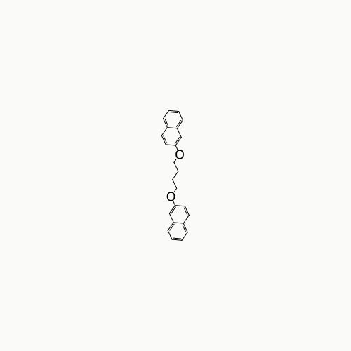 c1ccc2cc(OCCCCOc3ccc4ccccc4c3)ccc2c1